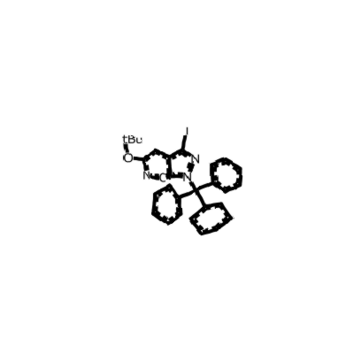 CC(C)(C)Oc1cc2c(I)nn(C(c3ccccc3)(c3ccccc3)c3ccccc3)c2cn1